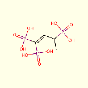 CC(C=C(P(=O)(O)O)P(=O)(O)O)P(=O)(O)O